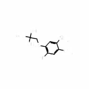 BC(C)(C)CSc1cc(N)c(C)cc1F